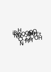 CCC(=O)C1=C(O)C[C@@H]2C[C@@H]3Cc4c(N(C)C)cc(CNCC(C)CC)c(O)c4C(=O)C3=C(O)[C@]2(O)C1=O